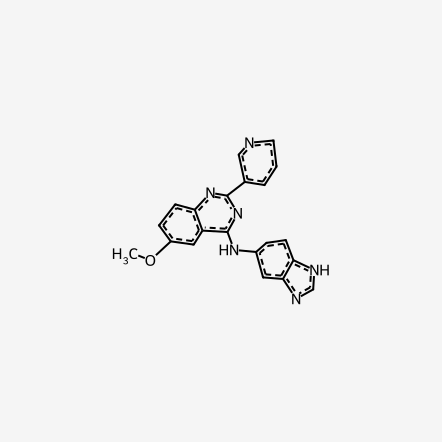 COc1ccc2nc(-c3cccnc3)nc(Nc3ccc4[nH]cnc4c3)c2c1